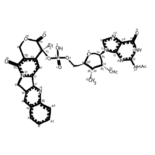 CC[C@@]1(OP(=O)(O)OC[C@H]2O[C@@H](n3cnc4c(=O)[nH]c(NC(C)=O)nc43)[C@H](OC(C)=O)[C@@H]2C)C(=O)OCc2c1cc1n(c2=O)Cc2cc3ccccc3nc2-1